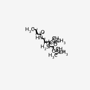 CC=CC(=O)NCCC[SiH2]C(O[Si](C)(C)C)O[Si](C)(C)C